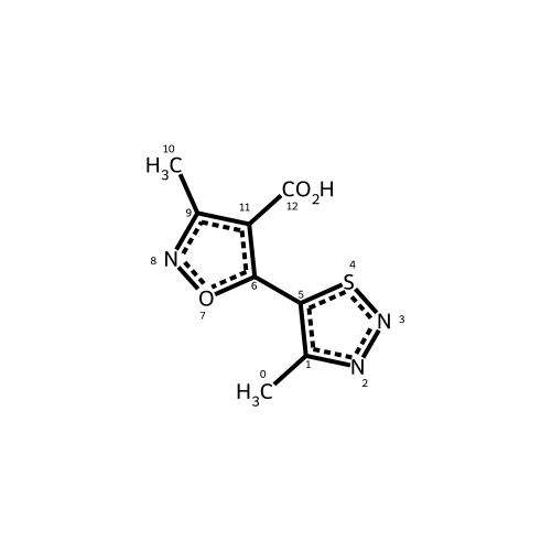 Cc1nnsc1-c1onc(C)c1C(=O)O